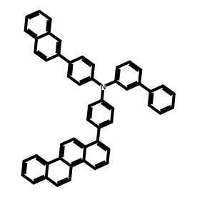 c1ccc(-c2cccc(N(c3ccc(-c4ccc5ccccc5c4)cc3)c3ccc(-c4cccc5c4ccc4c6ccccc6ccc54)cc3)c2)cc1